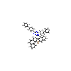 c1ccc(-c2ccc(-c3nc(-c4ccc(-c5ccccc5)cc4)nc(-c4cc5ccc6ccccc6c5c5sc6cc7ccccc7cc6c45)n3)cc2)cc1